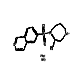 CCC1CNCCCN1S(=O)(=O)c1ccc2cnccc2c1.Cl.Cl